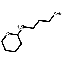 CSCCC[SiH2]C1CCCCO1